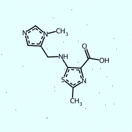 Cc1nc(C(=O)O)c(NCc2cncn2C)s1